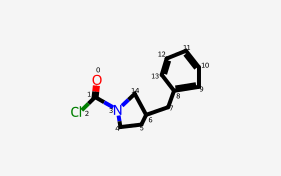 O=C(Cl)N1CCC(Cc2ccccc2)C1